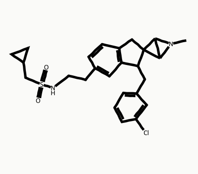 CN1C2C1C21Cc2ccc(CCNS(=O)(=O)CC3CC3)cc2C1Cc1cccc(Cl)c1